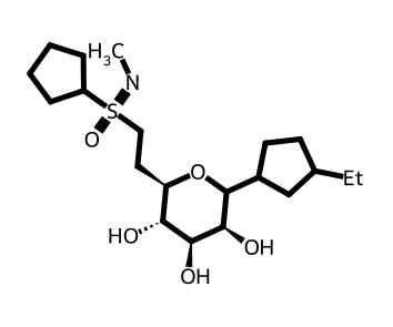 CCC1CCC(C2O[C@H](CCS(=O)(=NC)C3CCCC3)[C@@H](O)[C@H](O)[C@@H]2O)C1